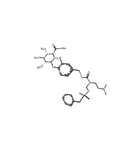 COC(=O)[C@H]1O[C@@H](Oc2ccc(COC(=O)N(CCN(C)C)COC(C)(C)Cc3ccccc3)cc2[N+](=O)[O-])[C@H](OC(C)=O)[C@@H](OC(C)=O)[C@@H]1OC(C)=O